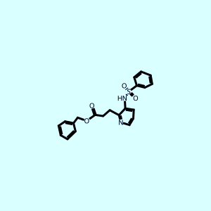 O=C(CCc1ncccc1NS(=O)(=O)c1ccccc1)OCc1ccccc1